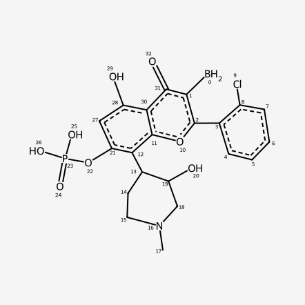 Bc1c(-c2ccccc2Cl)oc2c(C3CCN(C)CC3O)c(OP(=O)(O)O)cc(O)c2c1=O